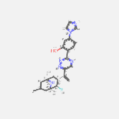 C=C(c1cnc(-c2ccc(-n3ccnc3)cc2O)nn1)[C@H]1C[C@]2(C)CC(C)C[C@@](C)(N2)[C@@H]1F